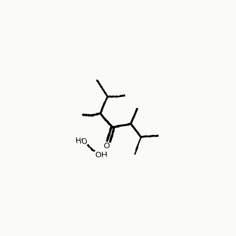 CC(C)C(C)C(=O)C(C)C(C)C.OO